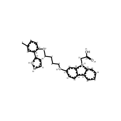 Cc1ccc(OCCCCOc2ccc3c4ccccc4n(CC(=O)O)c3c2)c(-c2ccno2)c1